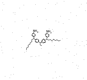 CCCCCCCCC(c1ccc(N)cc1)c1ccc(C(CC)c2ccc(C(CCCCCCCC)c3ccc(N)cc3)cc2)cc1